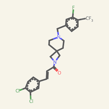 O=C(C=Cc1ccc(Cl)c(Cl)c1)N1CC2(CCN(Cc3ccc(C(F)(F)F)c(F)c3)CC2)C1